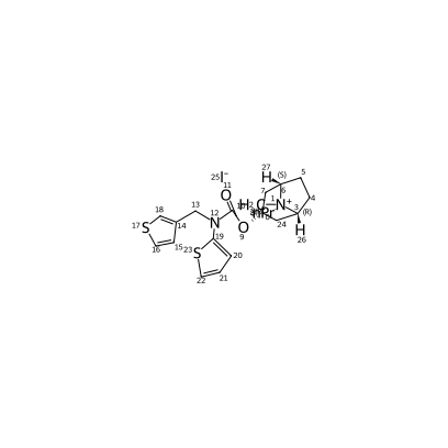 CCC[N+]1(C)[C@@H]2CC[C@H]1C[C@@H](OC(=O)N(Cc1ccsc1)c1cccs1)C2.[I-]